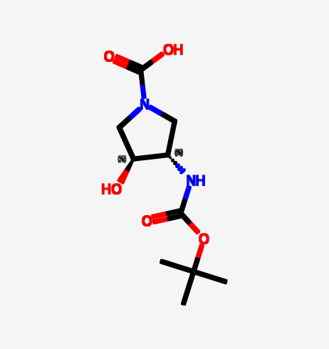 CC(C)(C)OC(=O)N[C@H]1CN(C(=O)O)C[C@@H]1O